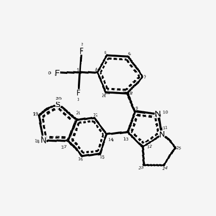 FC(F)(F)c1cccc(-c2nn3c(c2-c2ccc4ncsc4c2)CCC3)c1